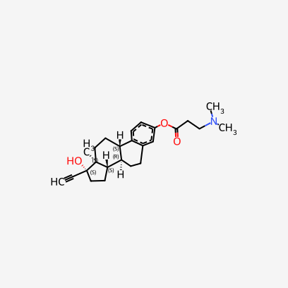 C#C[C@]1(O)CC[C@H]2[C@@H]3CCc4cc(OC(=O)CCN(C)C)ccc4[C@H]3CC[C@@]21C